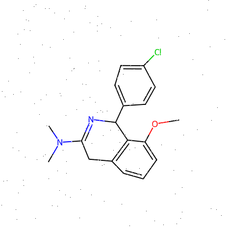 COc1cccc2c1C(c1ccc(Cl)cc1)N=C(N(C)C)C2